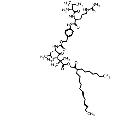 CCC=CCC=CCCCCCC(CCCCCCC)C(=O)COC(=O)C(C)(C)NC(=O)[C@H](CC(C)C)NC(=O)OCc1ccc(NC(=O)[C@H](CCCNC(N)=O)NC(=O)[C@@H](N)C(C)C)cc1